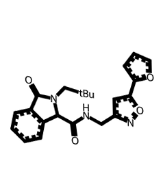 CC(C)(C)CN1C(=O)c2ccccc2C1C(=O)NCc1cc(-c2ccco2)on1